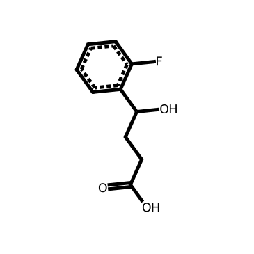 O=C(O)CCC(O)c1ccccc1F